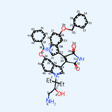 CCC(CC)(C(O)CN)n1cc(C2=C(c3c[nH]c4ccc(OCc5ccccc5)cc34)C(=O)NC2=O)c2cc(OCc3ccccc3)ccc21